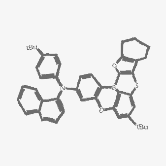 CC(C)(C)c1ccc(N(c2ccc3c(c2)Oc2cc(C(C)(C)C)cc4c2B3c2oc3c(c2S4)CCCC3)c2cccc3ccccc23)cc1